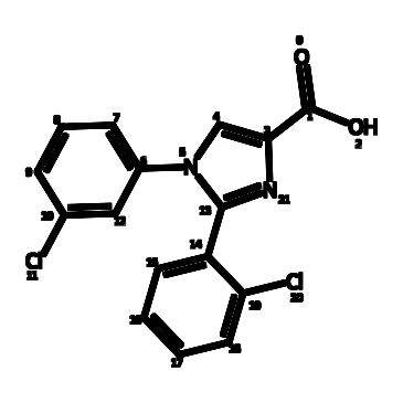 O=C(O)c1cn(-c2cccc(Cl)c2)c(-c2ccccc2Cl)n1